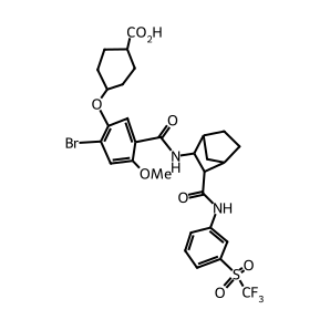 COc1cc(Br)c(OC2CCC(C(=O)O)CC2)cc1C(=O)NC1C2CCC(C2)C1C(=O)Nc1cccc(S(=O)(=O)C(F)(F)F)c1